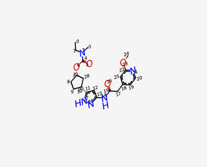 CCN(C)C(=O)O[C@H]1CC[C@@H](c2cc(NC(=O)Cc3ccnc(OC)c3)n[nH]2)C1